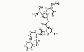 NC(O)c1nn(CC(=O)N2C[C@H](F)C[C@H]2C(=O)Nc2cccc(-c3ccccc3Cl)c2F)c2ccc(N=C=O)cc12